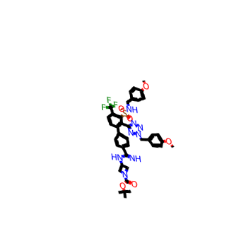 COc1ccc(CNS(=O)(=O)c2c(C(F)(F)F)ccc(-c3ccc(C(=N)NC4CN(C(=O)OC(C)(C)C)C4)cc3)c2-c2nnn(Cc3ccc(OC)cc3)n2)cc1